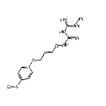 CC(C)NC(=N)NC(=N)NOCCCOc1ccc(SCl)cc1